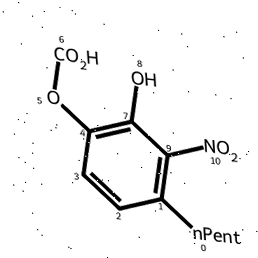 CCCCCc1ccc(OC(=O)O)c(O)c1[N+](=O)[O-]